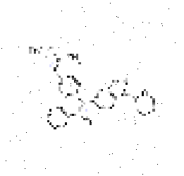 CCOC(=O)/C(C)=C/c1ccc(/C(=C(/CC)c2ccccc2)c2ccc3c(cnn3C3CCCCO3)c2)cc1